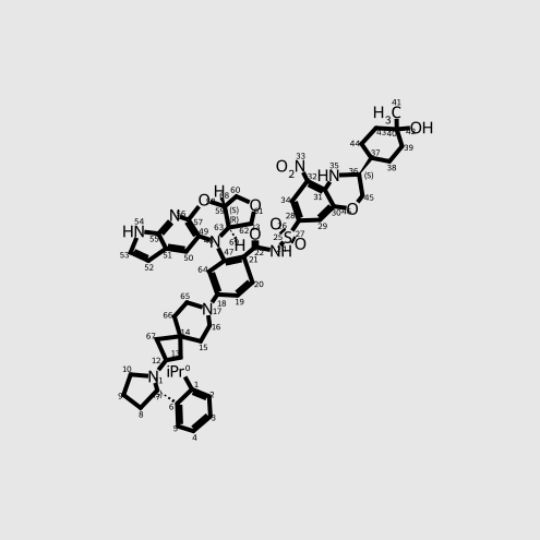 CC(C)c1ccccc1[C@@H]1CCCN1C1CC2(CCN(c3ccc(C(=O)NS(=O)(=O)c4cc5c(c([N+](=O)[O-])c4)N[C@@H](C4CCC(C)(O)CC4)CO5)c(N4c5cc6cc[nH]c6nc5O[C@@H]5COC[C@H]54)c3)CC2)C1